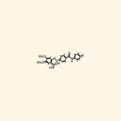 COc1cc(CSc2ccc(C(=O)Nc3ccc(F)cc3)cn2)c(B(O)O)cc1OC